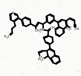 C#C/C=C\c1cc(-c2cccc(C(/C=C(\C)C3C=CC(c4cnccc4CCC=C)=CC3)NC(=C)C3=CC=C(C4=Cc5ccccc5C(C)C4/C=C\CC)CC3)c2)c2ccccc2c1C